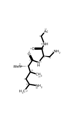 CN[C@H](C(=O)N[C@H](CN)C(=O)NCC(C)=O)C(C)CC(C)N